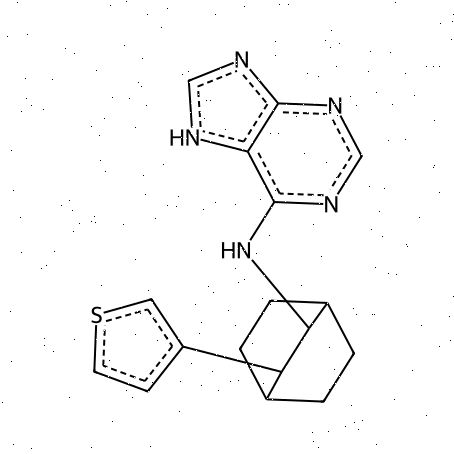 c1nc(NC2C3CCC(CC3)C2c2ccsc2)c2[nH]cnc2n1